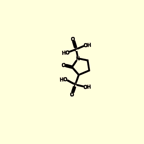 O=C1C(P(=O)(O)O)CCN1P(=O)(O)O